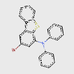 Brc1cc(N(c2ccccc2)c2ccccc2)c2sc3ccccc3c2c1